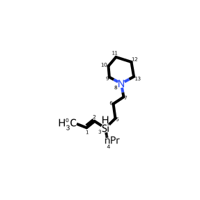 CC=C[SiH](CCC)CCCN1CCCCC1